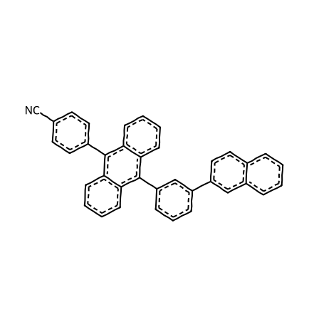 N#Cc1ccc(-c2c3ccccc3c(-c3cccc(-c4ccc5ccccc5c4)c3)c3ccccc23)cc1